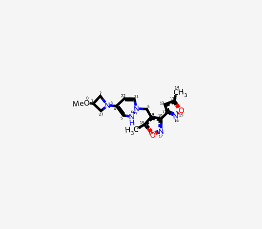 COC1CN(C2=CNN(Cc3c(-c4cc(C)on4)noc3C)C=C2)C1